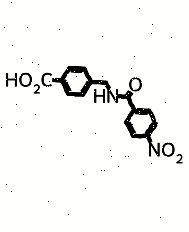 O=C(O)c1ccc(CNC(=O)c2ccc([N+](=O)[O-])cc2)cc1